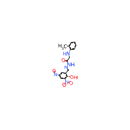 Cc1ccccc1NCC(=O)N/N=C/c1cc(N=O)cc([N+](=O)[O-])c1O